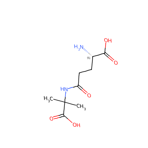 CC(C)(NC(=O)CC[C@H](N)C(=O)O)C(=O)O